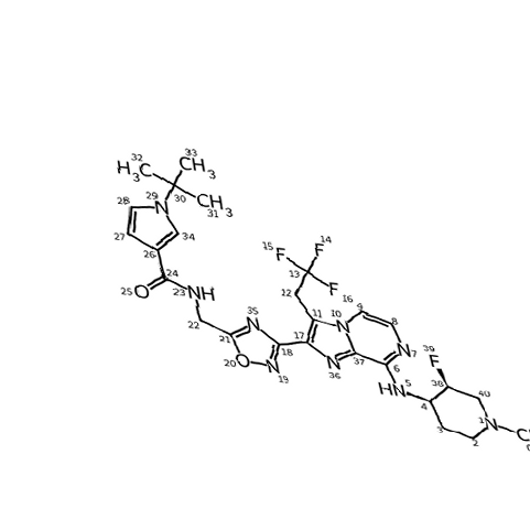 CN1CC[C@@H](Nc2nccn3c(CC(F)(F)F)c(-c4noc(CNC(=O)c5ccn(C(C)(C)C)c5)n4)nc23)[C@@H](F)C1